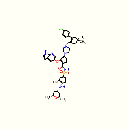 C[C@@H]1C[C@H](CNc2ccc(S(=O)(=O)NC(=O)c3ccc(N4CCN(CC5=C(c6ccc(Cl)cc6)CC(C)(C)CC5)CC4)cc3Oc3cnc4[nH]ccc4c3)cc2[N+](=O)[O-])C[C@H](C)O1